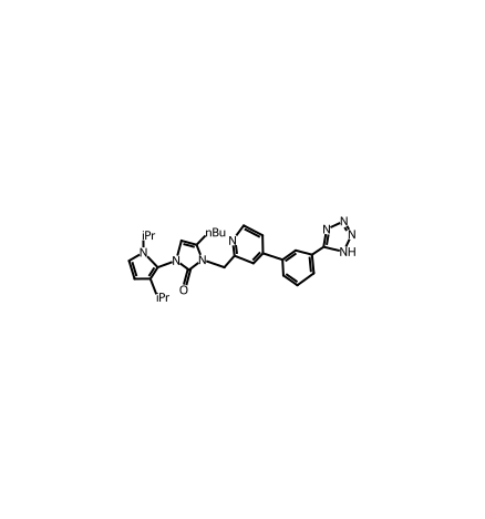 CCCCc1cn(-c2c(C(C)C)ccn2C(C)C)c(=O)n1Cc1cc(-c2cccc(-c3nnn[nH]3)c2)ccn1